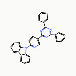 c1ccc(-c2nc(-c3ccccc3)nc(-c3ccc(-n4c5ccccc5c5ccccc54)nc3)n2)cc1